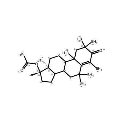 BC1=C2C(B)(B)CC3C(CC[C@@]4(CC)C3CC[C@]4(C)OC(=O)CCC)C2(B)CC(B)(B)C1=O